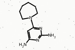 Nc1cc(N2CCCCCC2)nc(N)n1